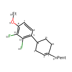 CCCCCC1=CCC(c2ccc(OCC)c(F)c2F)CC1